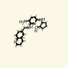 Nc1ccc(N[C@H]2CCCC2O)nc1NCc1ccc2ncccc2c1